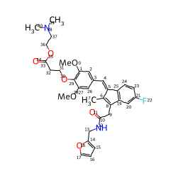 COc1cc(C=C2C(C)=C(CC(=O)NCc3ccco3)c3cc(F)ccc32)cc(OC)c1OCCC(=O)OCCN(C)C